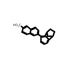 O=C(O)c1ccc2cc(-c3cccc4c3C3CCC4C3)ccc2c1